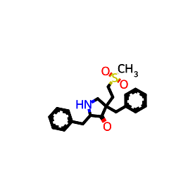 CS(=O)(=O)CCC1(Cc2ccccc2)CNC(Cc2ccccc2)C1=O